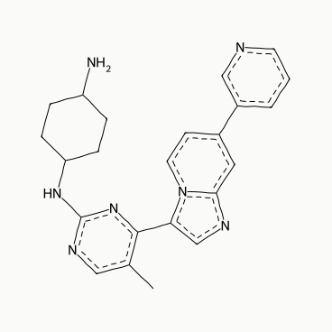 Cc1cnc(NC2CCC(N)CC2)nc1-c1cnc2cc(-c3cccnc3)ccn12